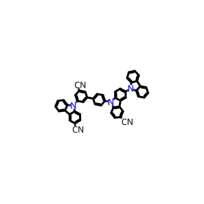 N#Cc1cc(-c2ccc(-n3c4ccc(C#N)cc4c4cc(-n5c6ccccc6c6ccccc65)ccc43)cc2)cc(-n2c3ccccc3c3cc(C#N)ccc32)c1